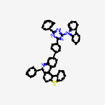 c1ccc(-c2nc(-c3ccc(-c4ccc5c(c4)nc(-c4ccccc4)c4ccc6sc7ccccc7c6c45)cc3)nc(-n3c4ccccc4c4ccccc43)n2)cc1